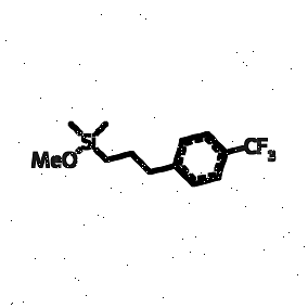 CO[Si](C)(C)CCCc1ccc(C(F)(F)F)cc1